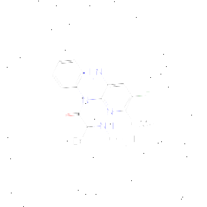 CCC(NC(=O)O)C(=O)N(c1ccccc1)c1nc(OC)c(F)cc1N